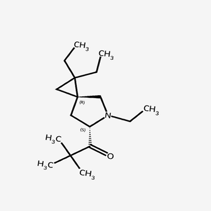 CCN1C[C@@]2(C[C@H]1C(=O)C(C)(C)C)CC2(CC)CC